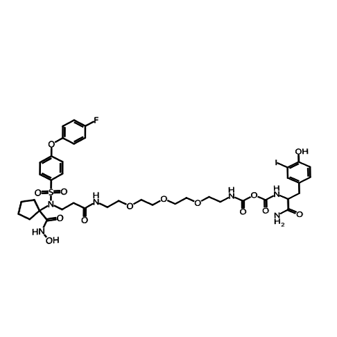 NC(=O)C(Cc1ccc(O)c(I)c1)NC(=O)OC(=O)NCCOCCOCCOCCNC(=O)CCN(C1(C(=O)NO)CCCC1)S(=O)(=O)c1ccc(Oc2ccc(F)cc2)cc1